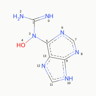 N=C(N)N(O)c1ncnc2[nH]cnc12